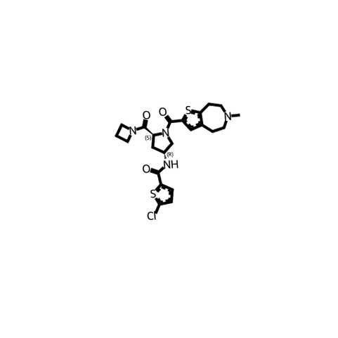 CN1CCc2cc(C(=O)N3C[C@H](NC(=O)c4ccc(Cl)s4)C[C@H]3C(=O)N3CCC3)sc2CC1